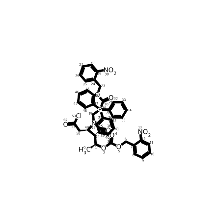 C[C@H](OC(=O)OCc1ccccc1[N+](=O)[O-])[C@H]1C(=O)N(CP(C(=O)OCc2ccccc2[N+](=O)[O-])(c2ccccc2)(c2ccccc2)c2ccccc2)[C@@H]1CC(=O)Cl